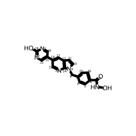 O=C(NO)c1ccc(Cn2ccc3cc(-c4cnc(O)nc4)cnc32)cc1